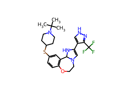 CC(C)(C)N1CCC(Sc2ccc3c(c2)C2NC(c4c[nH]nc4C(F)(F)F)=CN2CCO3)CC1